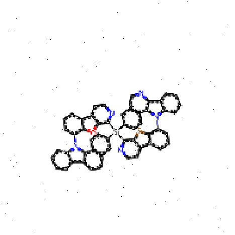 c1ccc([Si](c2ccccc2)(c2nccc3c2oc2c(-n4c5ccccc5c5ccccc54)cccc23)c2nccc3c2sc2c(-n4c5ccccc5c5ncccc54)cccc23)cc1